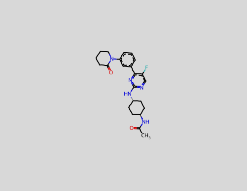 CC(=O)N[C@H]1CC[C@H](Nc2ncc(F)c(-c3cccc(N4CCCCC4=O)c3)n2)CC1